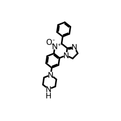 [O-][N+]1=C(c2ccccc2)C2=NCCN2c2cc(N3CCNCC3)ccc21